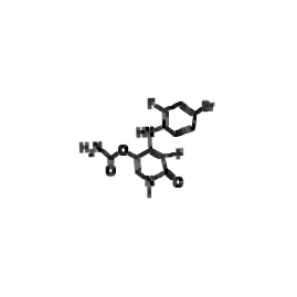 Cn1cc(OC(N)=O)c(Nc2ccc(Br)cc2F)c(F)c1=O